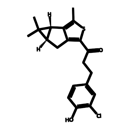 Cc1sc(C(=O)CCc2ccc(O)c(Cl)c2)c2c1[C@H]1[C@@H](C2)C1(C)C